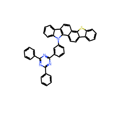 c1ccc(-c2nc(-c3ccccc3)nc(-c3cccc(-n4c5ccccc5c5ccc6c(ccc7c8ccccc8sc76)c54)c3)n2)cc1